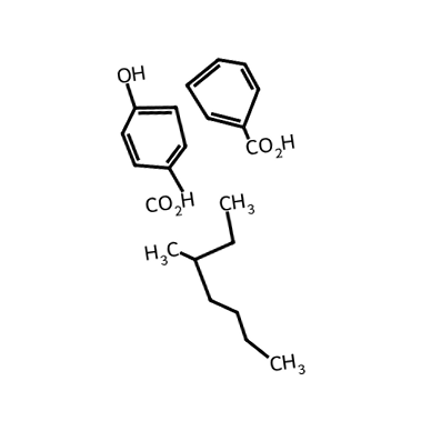 CCCCC(C)CC.O=C(O)c1ccc(O)cc1.O=C(O)c1ccccc1